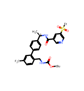 CCS(=O)(=O)c1cncc(C(=O)N[C@H](C)c2ccc(-c3cc(C(F)(F)F)ccc3CNC(=O)OC(C)(C)C)cc2)c1